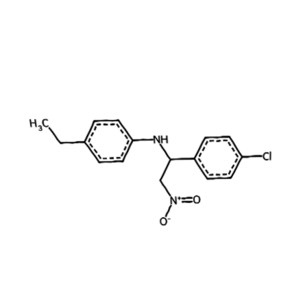 CCc1ccc(NC(C[N+](=O)[O-])c2ccc(Cl)cc2)cc1